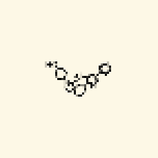 O=C1N([C@H]2CC[C@@H](O)CC2)CC[C@@]12CCCN(c1ncc(-c3ccncc3)cc1Cl)C2